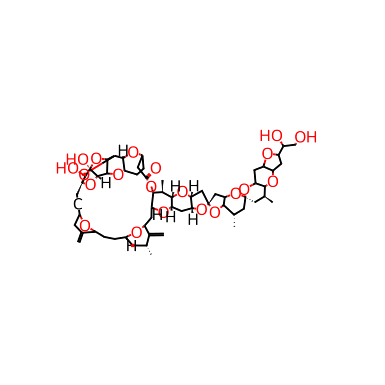 C=C1CC2CC[C@]34OC5C6O[C@](O)(C3O)[C@@H](O4)C6OC3CCC(CC(=O)OC4[C@H](CC6O[C@@H](CCC1O2)C[C@@H](C)C6=C)O[C@H]1C[C@H]2O[C@]6(CC7O[C@]8(C[C@H](C)C9OC%10CC(C(O)CO)OC%10CC9O8)C[C@H](C)C7O6)C[C@H]2O[C@H]1[C@@H]4C)O[C@@H]35